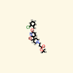 CC(C)(C)OC(=O)CCN1CCC2(CC1)COc1nc(OCc3ccccc3Cl)ccc12